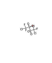 O=S(=O)(C(F)(F)Cl)S(=O)(=O)C(F)(Cl)Cl